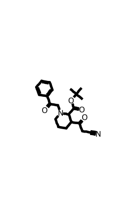 CC(C)(C)OC(=O)C1C(C(=O)CC#N)CCCN1CC(=O)c1ccccc1